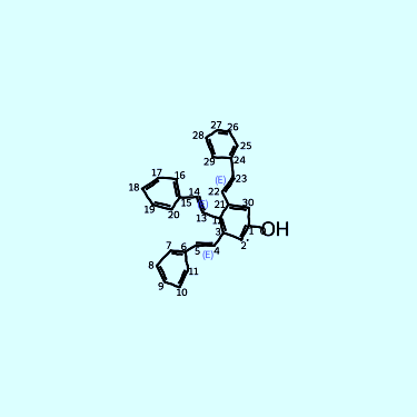 Oc1[c]c(/C=C/c2ccccc2)c(/C=C/c2ccccc2)c(/C=C/c2ccccc2)c1